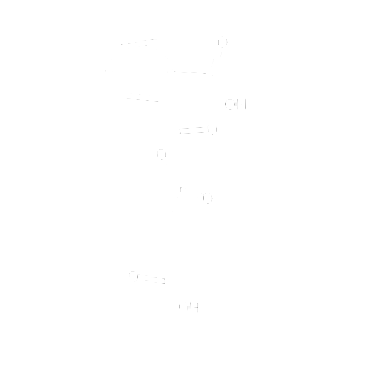 O=C(O)CCC(=O)OC(=O)c1ccccc1C(=O)O